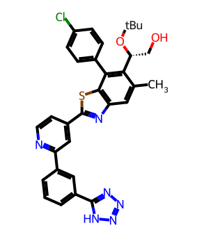 Cc1cc2nc(-c3ccnc(-c4cccc(-c5nnn[nH]5)c4)c3)sc2c(-c2ccc(Cl)cc2)c1[C@@H](CO)OC(C)(C)C